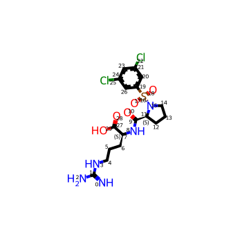 N=C(N)NCCC[C@H](NC(=O)[C@@H]1CCCN1S(=O)(=O)c1cc(Cl)cc(Cl)c1)C(=O)O